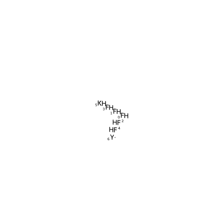 F.F.F.F.F.[KH].[Y]